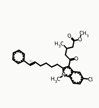 COC(=O)CC(C)CC(=O)c1c(CCCC/C=C/c2ccccc2)n(C)c2ccc(Cl)cc12